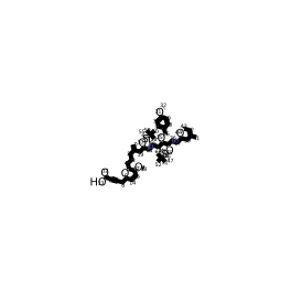 C=C(CCCC1OC(CC#CC(=O)O)C=CC1OC)CC(/C=C/CC(OCc1ccc(OC)cc1)C(/C=C/C1CC(C)=CCO1)O[Si](C)(C)C(C)(C)C)O[Si](C)(C)C(C)(C)C